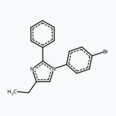 CCc1cn(-c2ccc(Br)cc2)c(-c2ccccc2)n1